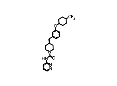 O=C(Nc1cccnn1)N1CCC(=Cc2cccc(OC3CCC(C(F)(F)F)CC3)c2)CC1